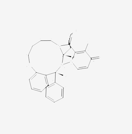 COC[C@H]1N2CCCCOc3ccccc3[C@@](S)(c3ccccc3)N1n1ccc(=O)c(O)c1C2=O